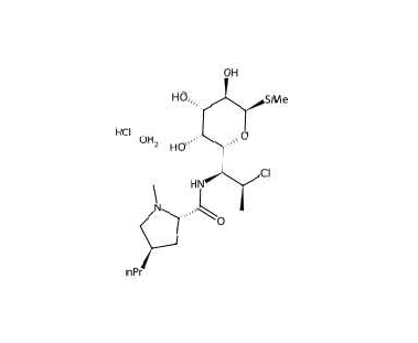 CCC[C@@H]1C[C@@H](C(=O)N[C@@H]([C@H]2O[C@H](SC)[C@H](O)[C@@H](O)[C@H]2O)[C@H](C)Cl)N(C)C1.Cl.O